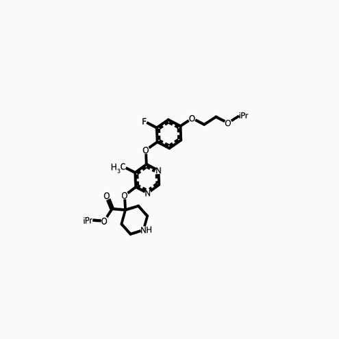 Cc1c(Oc2ccc(OCCOC(C)C)cc2F)ncnc1OC1(C(=O)OC(C)C)CCNCC1